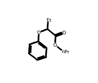 CCCOC(=O)C(CC)Oc1ccccc1